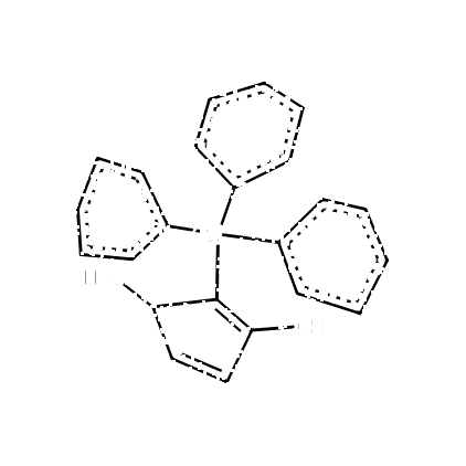 CC1=C([Si](c2ccccc2)(c2ccccc2)c2ccccc2)C(C)C=C1